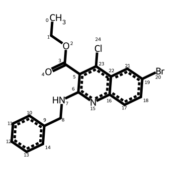 CCOC(=O)c1c(NCc2ccccc2)nc2ccc(Br)cc2c1Cl